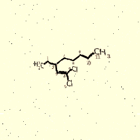 [CH2]CC(C=C(Cl)Cl)CCCCC